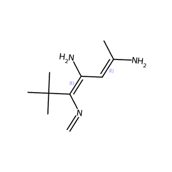 C=N/C(=C(N)\C=C(/C)N)C(C)(C)C